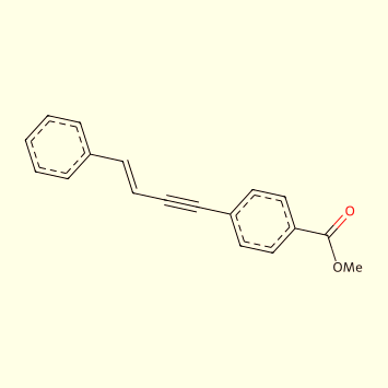 COC(=O)c1ccc(C#CC=Cc2ccccc2)cc1